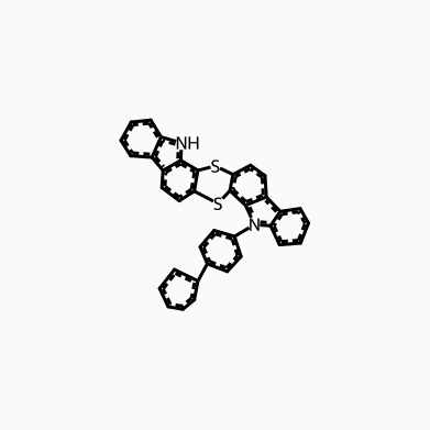 c1ccc(-c2ccc(-n3c4ccccc4c4ccc5c(c43)Sc3ccc4c([nH]c6ccccc64)c3S5)cc2)cc1